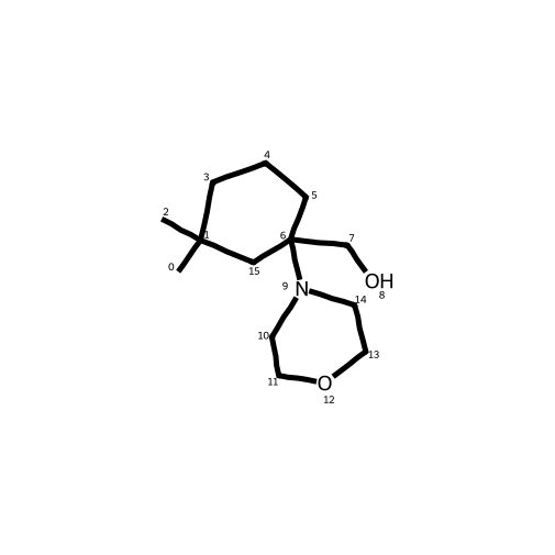 CC1(C)CCCC(CO)(N2CCOCC2)C1